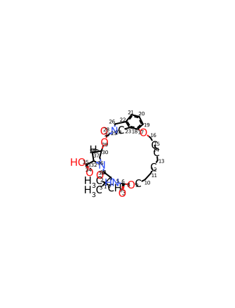 CC(C)(C)[C@@H]1NC(=O)OCCCCCCCCOc2cccc3c2CN(C3)C(=O)O[C@@H]2CC(C(=O)O)N(C2)C1=O